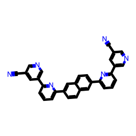 N#Cc1cncc(-c2cccc(-c3ccc4cc(-c5cccc(-c6cncc(C#N)c6)n5)ccc4c3)n2)c1